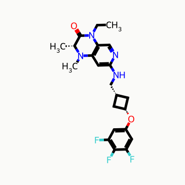 CCN1C(=O)[C@@H](C)N(C)c2cc(NC[C@H]3C[C@@H](Oc4cc(F)c(F)c(F)c4)C3)ncc21